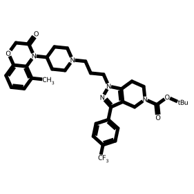 Cc1cccc2c1N(C1CCN(CCCn3nc(-c4ccc(C(F)(F)F)cc4)c4c3CCN(C(=O)OC(C)(C)C)C4)CC1)C(=O)CO2